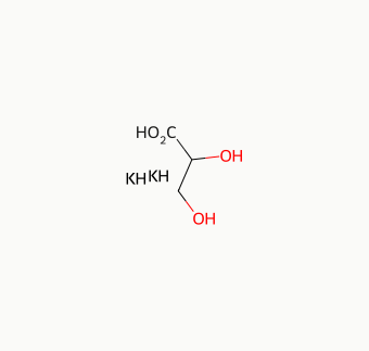 O=C(O)C(O)CO.[KH].[KH]